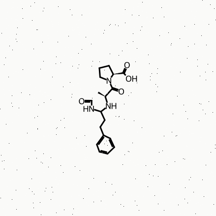 C[C@H](NC(CCc1ccccc1)NC=O)C(=O)N1CCC[C@H]1C(=O)O